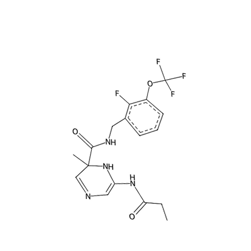 CCC(=O)NC1=CN=CC(C)(C(=O)NCc2cccc(OC(F)(F)F)c2F)N1